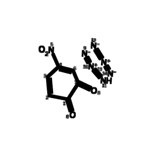 O=C1C=CC([N+](=O)[O-])=CC1=O.[N-]=[N+]=N.[N-]=[N+]=[N-]